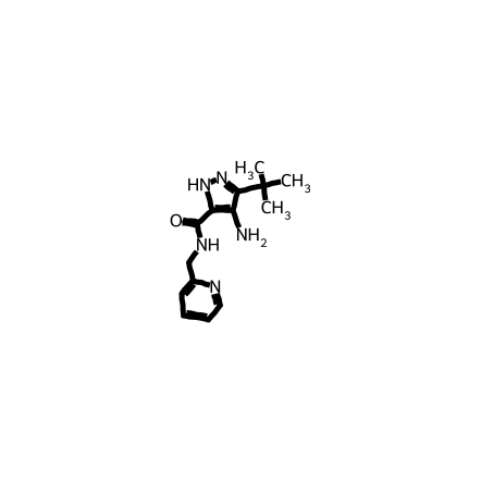 CC(C)(C)c1n[nH]c(C(=O)NCc2ccccn2)c1N